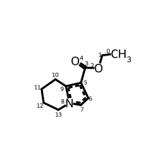 CCOC(=O)c1ccn2c1CCCC2